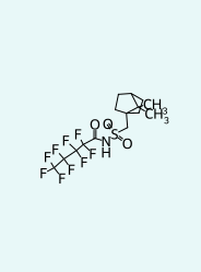 CC1(C)C2CCC1(CS(=O)(=O)NC(=O)C(F)(F)C(F)(F)C(F)(F)C(F)(F)F)CC2